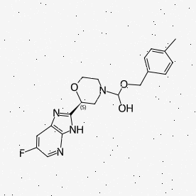 Cc1ccc(COC(O)N2CCO[C@H](c3nc4cc(F)cnc4[nH]3)C2)cc1